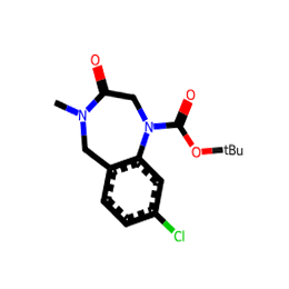 CN1Cc2ccc(Cl)cc2N(C(=O)OC(C)(C)C)CC1=O